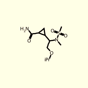 CC(C)OCC(C1CC1C(N)=O)N(C)S(C)(=O)=O